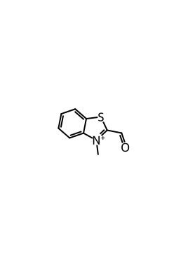 C[n+]1c(C=O)sc2ccccc21